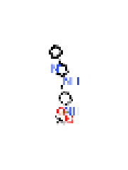 CC(C)(C)S(=O)(=O)N[C@H]1CC[C@H](CNc2ccc(-c3ccccc3)nc2)CC1